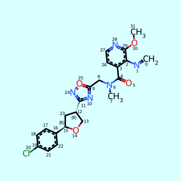 C=Nc1c(C(=O)N(C)Cc2nc([C@@H]3CO[C@@H](c4ccc(Cl)cc4)C3)no2)ccnc1OC